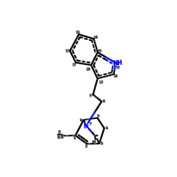 CCC1=CC2CCC1N(CCc1c[nH]c3ccccc13)C2